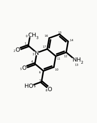 CC(=O)n1c(=O)c(C(=O)O)cc2c(N)cccc21